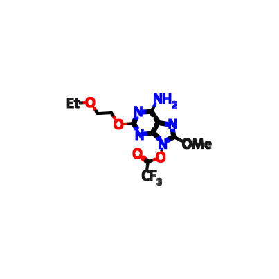 CCOCCOc1nc(N)c2nc(OC)n(OC(=O)C(F)(F)F)c2n1